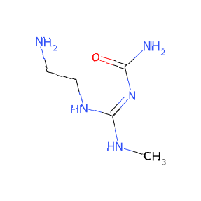 CNC(=NC(N)=O)NCCN